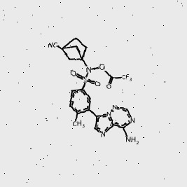 Cc1ccc(S(=O)(=O)N(OC(=O)C(F)(F)F)C23CCC(C#N)(C2)C3)cc1-c1cnc2c(N)ncnn12